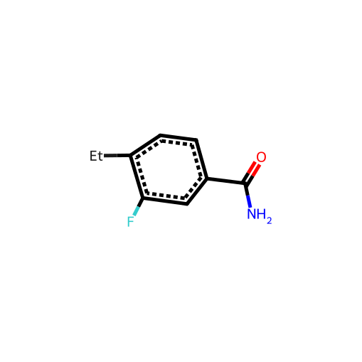 [CH2]Cc1ccc(C(N)=O)cc1F